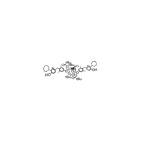 Cc1cc(OC(COC(=O)C(C)(C)C)(COC(=O)C(C)(C)C)O[PH](=O)OC(COC(=O)C(C)(C)C)(COC(=O)C(C)(C)C)Oc2cc(C)c(Cc3ccc(O)c(C4CCCCCC4)n3)c(C)c2)cc(C)c1Cc1ccc(O)c(C2CCCCCC2)n1